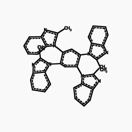 Cc1nc2ccccc2n1-c1cc(-n2c(C)nc3ccccc32)c(-n2c(C)nc3ccccc32)cc1-n1c(C)nc2ccccc21